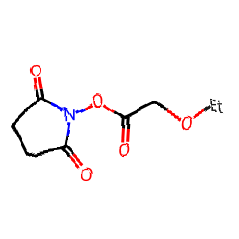 CCOCC(=O)ON1C(=O)CCC1=O